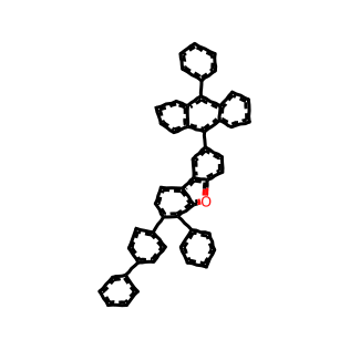 c1ccc(-c2ccc(-c3ccc4c(oc5ccc(-c6c7ccccc7c(-c7ccccc7)c7ccccc67)cc54)c3-c3ccccc3)cc2)cc1